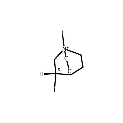 I[C@@H]1C[N+]2(I)CCC1CC2